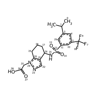 CC(C)c1cc(C(F)(F)F)cc(S(=O)(=O)NC2CCCc3c2cnn3CC(=O)O)c1